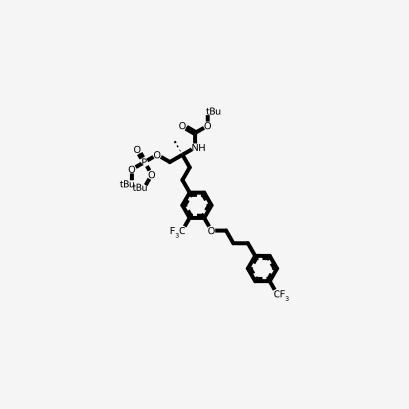 CC(C)(C)OC(=O)N[C@@](C)(CCc1ccc(OCCCc2ccc(C(F)(F)F)cc2)c(C(F)(F)F)c1)COP(=O)(OC(C)(C)C)OC(C)(C)C